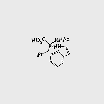 CC(=O)N[C@@H](CC(C)C)C(=O)O.c1ccc2[nH]ccc2c1